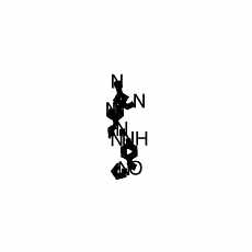 N#CCC1(n2cc(-c3ccnc(Nc4ccc(C(=O)N5CCCC5)cc4)n3)cn2)CC(C#N)C1